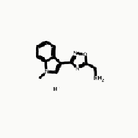 Cn1cc(-c2noc(CN)n2)c2ccccc21.[H+]